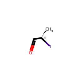 C[C@H](I)C=O